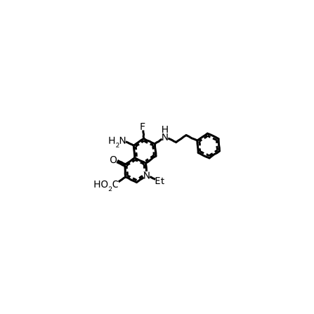 CCn1cc(C(=O)O)c(=O)c2c(N)c(F)c(NCCc3ccccc3)cc21